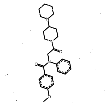 COc1ccc(C(=O)N(CC(=O)N2CCC(N3CCCCC3)CC2)c2ccccc2)cc1